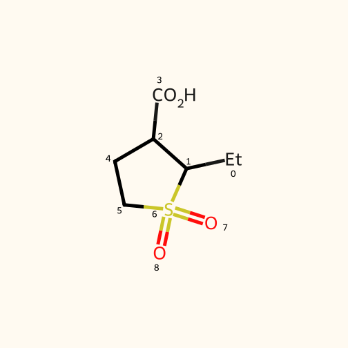 CCC1C(C(=O)O)CCS1(=O)=O